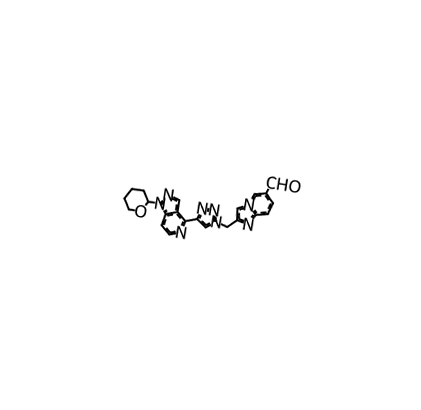 O=Cc1ccc2nc(Cn3cc(-c4nccc5c4cnn5C4CCCCO4)nn3)cn2c1